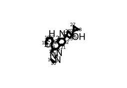 N[C@]1(C2C=CC(c3nc4nccn4cc3-c3ccccc3)=CC2)C[C@](O)(C2CC2)C1